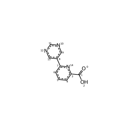 O=C(O)c1cccc(-c2cncnc2)n1